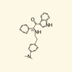 CN(C)c1ccc(CCN[C@H](C(=O)c2c[nH]c3ccccc23)c2ccccc2)cc1